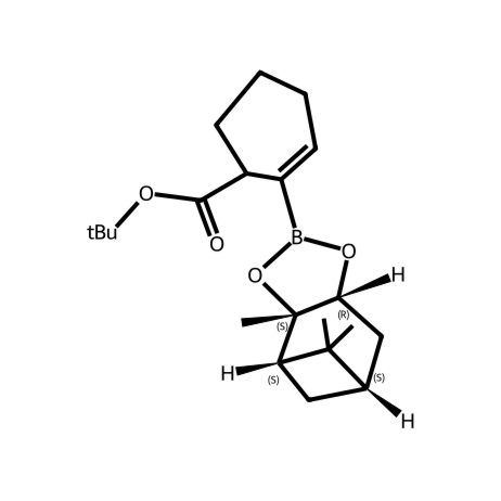 CC(C)(C)OC(=O)C1CCCC=C1B1O[C@@H]2C[C@@H]3C[C@@H](C3(C)C)[C@]2(C)O1